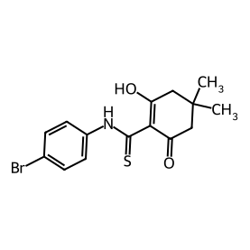 CC1(C)CC(=O)C(C(=S)Nc2ccc(Br)cc2)=C(O)C1